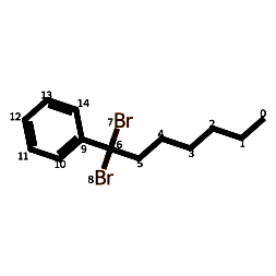 CCCCCCC(Br)(Br)c1ccccc1